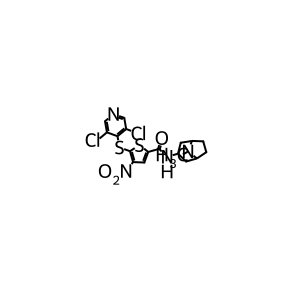 CN1C2CCC1CC(NC(=O)c1cc([N+](=O)[O-])c(Sc3c(Cl)cncc3Cl)s1)C2